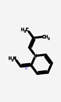 CC(C)=CN1C=CC=C/C1=C/N